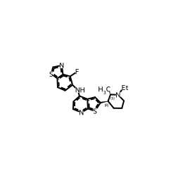 CCN1CCC[C@@H](c2cc3c(Nc4ccc5scnc5c4F)ccnc3s2)[C@@H]1C